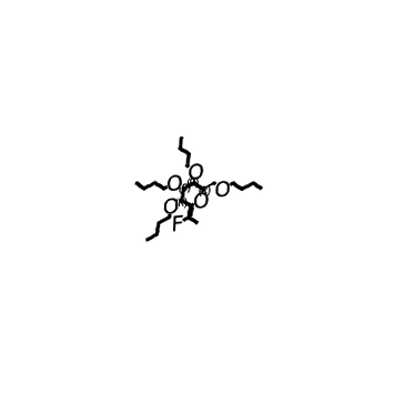 CCCCOC[C@H]1OC(=C(C)F)[C@H](OCCCC)[C@@H](OCCCC)[C@@H]1OCCCC